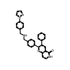 O=c1[nH]ccc2nc(-c3ccc(CNCc4ccc(-n5cccn5)cc4)cc3)c(-c3ccccc3)cc12